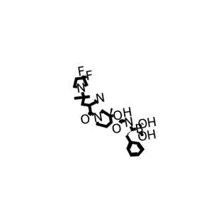 CC(C)(CC(C#N)C(=O)N1CCC[C@@](C)(OC(=O)N[C@@H](Cc2ccccc2)B(O)O)C1)N1CCC(F)(F)C1